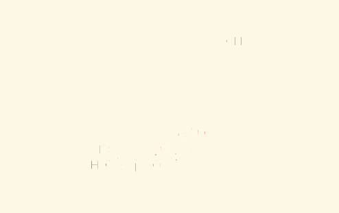 CCCCCCCCCCC(=O)Oc1ccccc1OC(=O)CCCC(C)(C)C